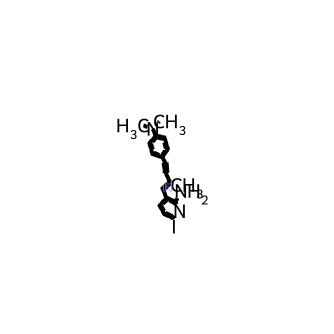 C/C(C#Cc1ccc(N(C)C)cc1)=C\c1ccc(I)nc1N